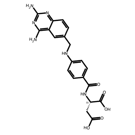 Nc1nc(N)c2cc(CNc3ccc(C(=O)N[C@@H](CC(=O)O)C(=O)O)cc3)ccc2n1